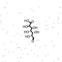 O=C[C@H](O)[C@@H](O)[C@H](O)[C@H](O)C(O)C(=O)O